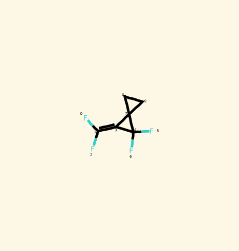 FC(F)=C1C(F)(F)C12CC2